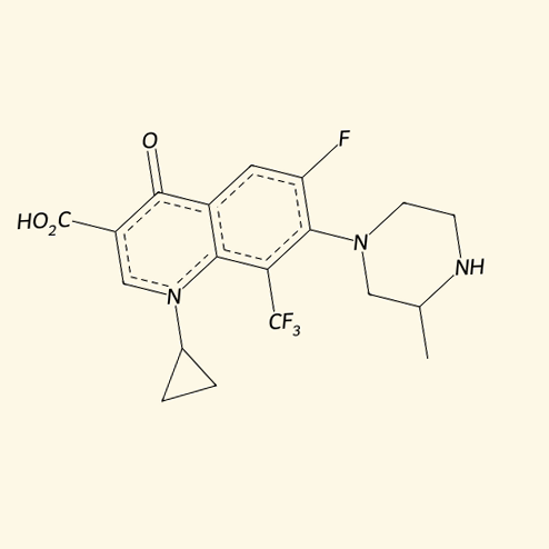 CC1CN(c2c(F)cc3c(=O)c(C(=O)O)cn(C4CC4)c3c2C(F)(F)F)CCN1